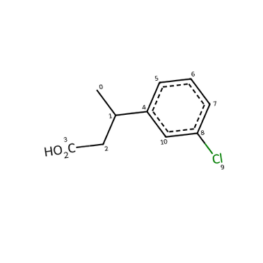 CC(CC(=O)O)c1cccc(Cl)c1